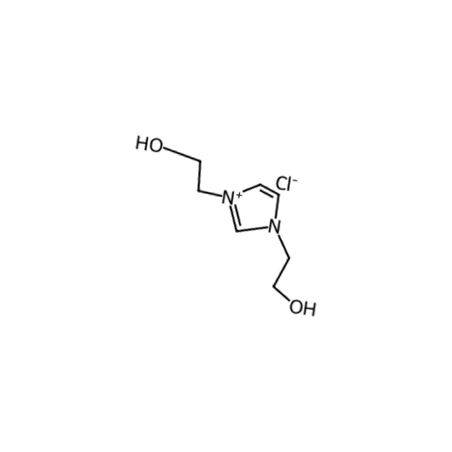 OCCn1cc[n+](CCO)c1.[Cl-]